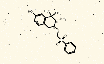 CC1(C)c2cc(O)ccc2C[C@H](SCS(=O)(=O)c2ccccc2)[C@H]1N